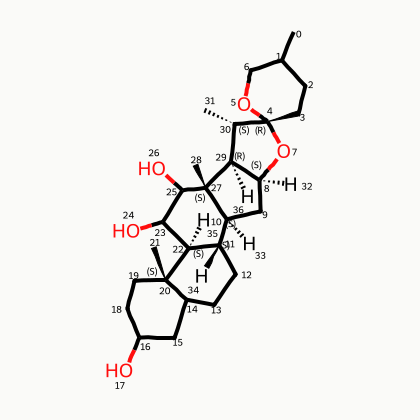 CC1CC[C@@]2(OC1)O[C@H]1C[C@H]3[C@@H]4CCC5CC(O)CC[C@]5(C)[C@H]4C(O)C(O)[C@]3(C)[C@H]1[C@@H]2C